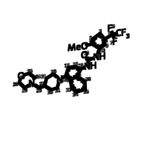 COc1ccc(C(F)(F)C(F)(F)F)cc1NC(=O)Nc1ccc(N2CCC(CN3CCOCC3)CC2)c2ccccc12